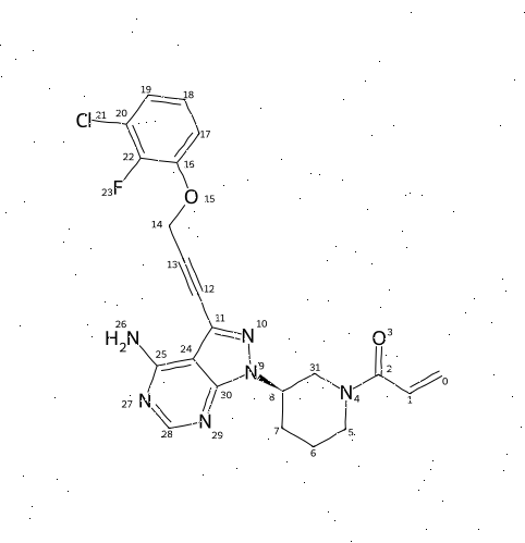 C=CC(=O)N1CCC[C@@H](n2nc(C#CCOc3cccc(Cl)c3F)c3c(N)ncnc32)C1